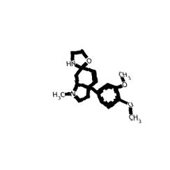 COc1ccc(C23C=CC4(CC2N(C)CC3)NCCO4)cc1OC